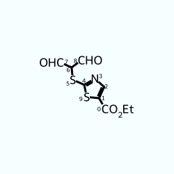 CCOC(=O)c1cnc(SC(C=O)C=O)s1